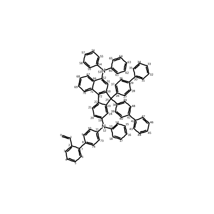 C=Cc1ccccc1-c1ccc(N(c2ccccc2)c2ccc3c(c2)C(c2ccc(-c4ccccc4)cc2)(c2ccc(-c4ccccc4)cc2)c2cc(N(c4ccccc4)c4ccccc4)c4ccccc4c2-3)cc1